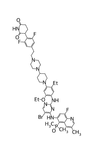 CCOc1cc(N2CCC(N3CCN(CCc4cc(F)c(C5CCC(=O)NC5=O)c(F)c4)CC3)CC2)c(CC)cc1Nc1ncc(Br)c(Nc2cc(F)c3ncc(C)cc3c2P(C)(C)=O)n1